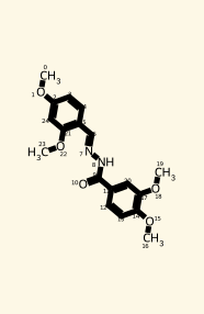 COc1ccc(C=NNC(=O)c2ccc(OC)c(OC)c2)c(OC)c1